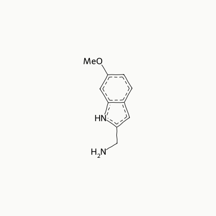 COc1ccc2cc(CN)[nH]c2c1